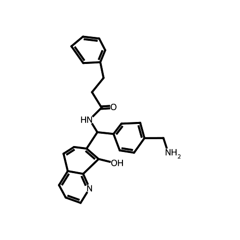 NCc1ccc(C(NC(=O)CCc2ccccc2)c2ccc3cccnc3c2O)cc1